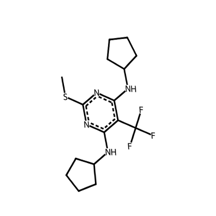 CSc1nc(NC2CCCC2)c(C(F)(F)F)c(NC2CCCC2)n1